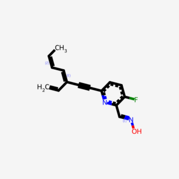 C=C/C(C#Cc1ccc(F)c(/C=N/O)n1)=C\C=C/C